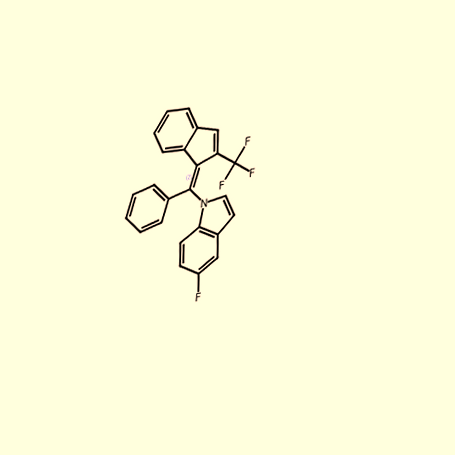 Fc1ccc2c(ccn2/C(=C2\C(C(F)(F)F)=Cc3ccccc32)c2ccccc2)c1